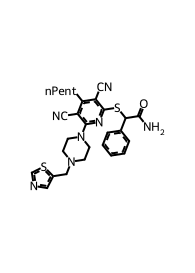 CCCCCc1c(C#N)c(SC(C(N)=O)c2ccccc2)nc(N2CCN(Cc3cncs3)CC2)c1C#N